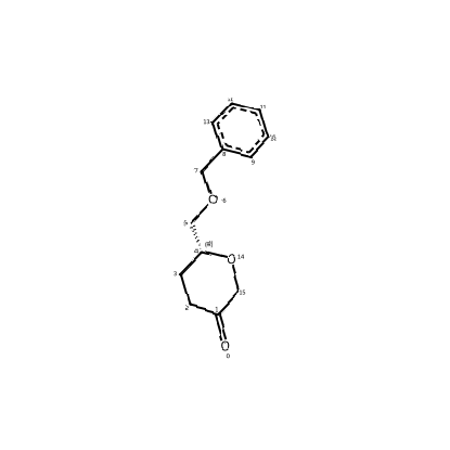 O=C1CC[C@H](COCc2ccccc2)OC1